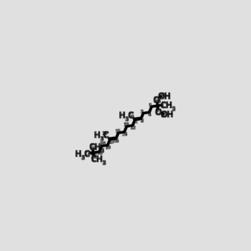 C/C(=C\CCCC(C)(OO)OO)CCCC/C=C(\C)CCCC(C)(C)C